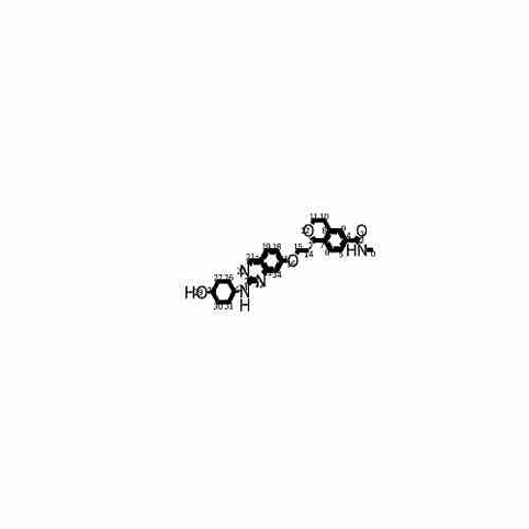 CNC(=O)c1ccc2c(c1)CCO[C@H]2CCOc1ccc2cnc(N[C@H]3CC[C@H](O)CC3)nc2c1